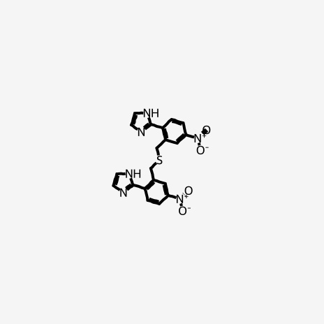 O=[N+]([O-])c1ccc(-c2ncc[nH]2)c(CSCc2cc([N+](=O)[O-])ccc2-c2ncc[nH]2)c1